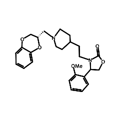 COc1ccccc1C1COC(=O)N1CCC1CCN(C[C@H]2COc3ccccc3O2)CC1